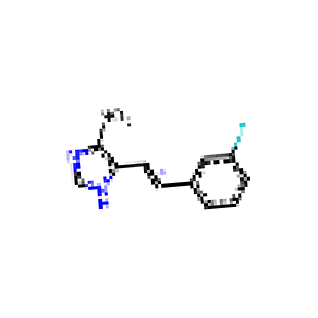 O=[N+]([O-])c1nc[nH]c1/C=C/c1cccc(F)c1